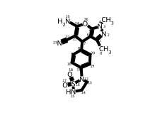 Cc1nn(C)c2c1C(c1ccc(N3CCNS3(=O)=O)cc1)C(C#N)=C(N)O2